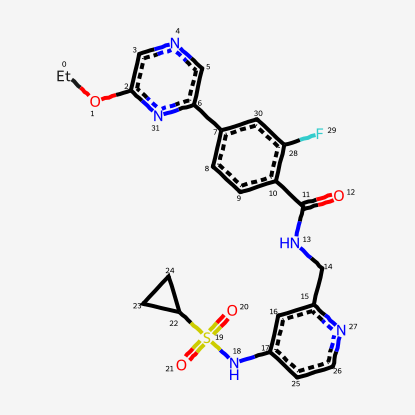 CCOc1cncc(-c2ccc(C(=O)NCc3cc(NS(=O)(=O)C4CC4)ccn3)c(F)c2)n1